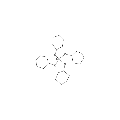 C1CCC([O][Os]([O]C2CCCCC2)([O]C2CCCCC2)[O]C2CCCCC2)CC1